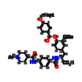 CCCCCCCOc1ccc(C(=O)OC2=CCC(CC(NC(=O)c3ccc(NC(=O)C4CCN(C(C)=O)CC4)cc3)C(=O)O)C=C2OC)cc1